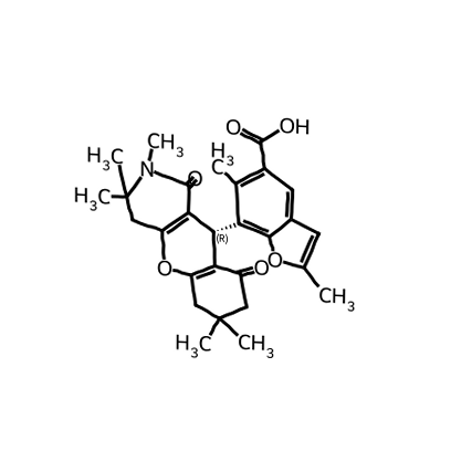 Cc1cc2cc(C(=O)O)c(C)c([C@@H]3C4=C(CC(C)(C)CC4=O)OC4=C3C(=O)N(C)C(C)(C)C4)c2o1